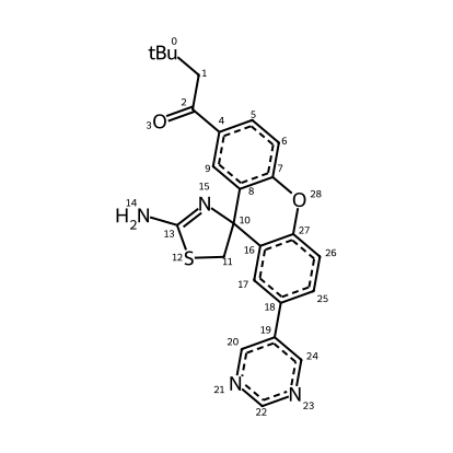 CC(C)(C)CC(=O)c1ccc2c(c1)C1(CSC(N)=N1)c1cc(-c3cncnc3)ccc1O2